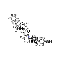 CN[C@H](C(=O)N[C@H](C(=O)N(C)[C@H](/C=C(\C)C(=O)NS(=O)(=O)c1ccc(O)cc1)C(C)C)C(C)(C)C)C(C)(C)c1ccccc1